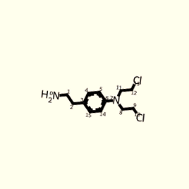 NCCc1ccc(N(CCCl)CCCl)cc1